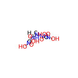 CN(CCNC(=O)c1ccn(CCO)c(=O)c1O)CCNC(=O)c1ccn(CCO)c(=O)c1O